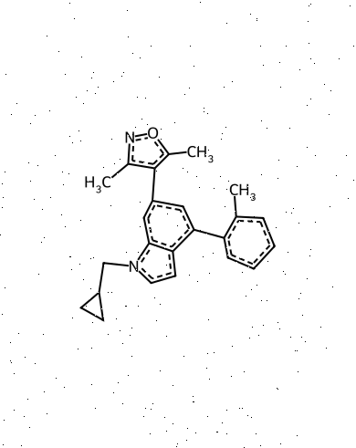 Cc1ccccc1-c1cc(-c2c(C)noc2C)cc2c1ccn2CC1CC1